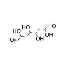 O=CC(O)CC(O)C(O)CC(O)C=O